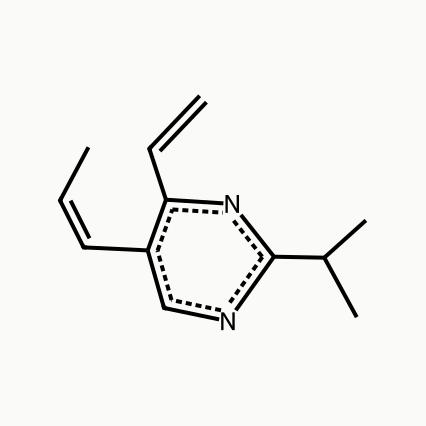 C=Cc1nc(C(C)C)ncc1/C=C\C